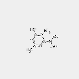 CCCCN(CCCC)c1nc(C)nc(S)c1N